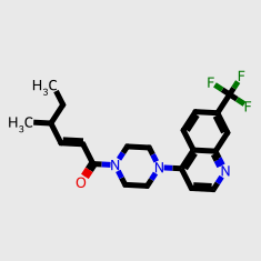 CCC(C)C=CC(=O)N1CCN(c2ccnc3cc(C(F)(F)F)ccc23)CC1